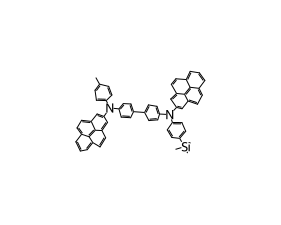 Cc1ccc(N(c2ccc(-c3ccc(N(c4ccc([Si](C)(C)C)cc4)c4cc5ccc6cccc7ccc(c4)c5c67)cc3)cc2)c2cc3ccc4cccc5ccc(c2)c3c45)cc1